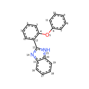 [c]1cccc(Oc2ccccc2)c1-c1nc2ccccc2[nH]1